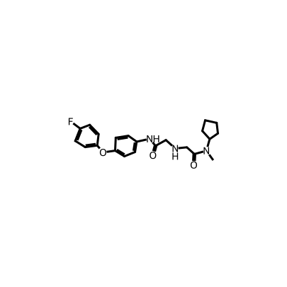 CN(C(=O)CNCC(=O)Nc1ccc(Oc2ccc(F)cc2)cc1)C1CCCC1